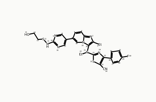 CCc1nc2ccc(-c3cnc(NSCCO)nc3)cn2c1N(CC)c1nc(-c2ccc(F)cc2)c(C#N)s1